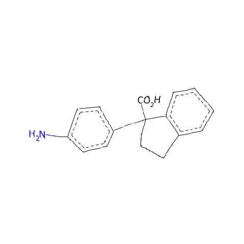 Nc1ccc(C2(C(=O)O)CCc3ccccc32)cc1